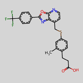 Cc1cc(SCc2ccnc3oc(-c4ccc(C(F)(F)F)cc4)nc23)ccc1CCC(=O)O